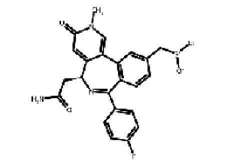 CC[S+]([O-])Cc1ccc2c(c1)-c1cn(C)c(=O)cc1[C@H](CC(N)=O)N=C2c1ccc(F)cc1